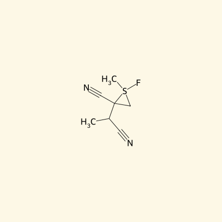 CC(C#N)C1(C#N)CS1(C)F